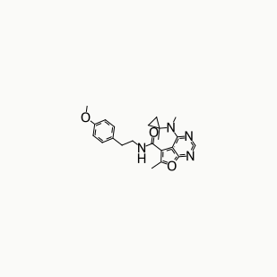 COc1ccc(CCNC(=O)c2c(C)oc3ncnc(N(C)C4(C)CC4)c23)cc1